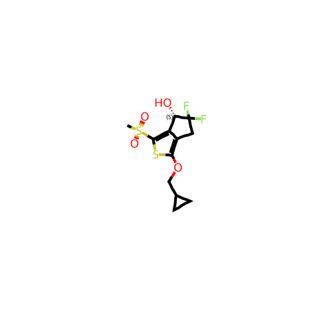 CS(=O)(=O)c1sc(OCC2CC2)c2c1[C@H](O)C(F)(F)C2